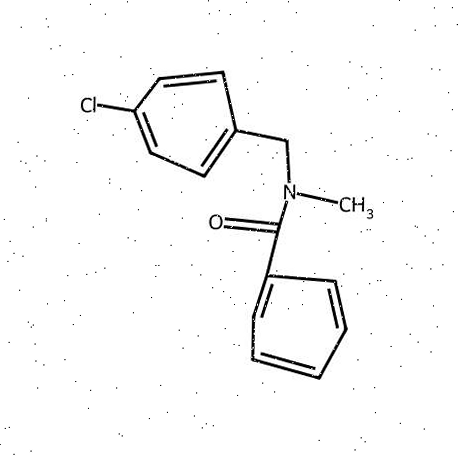 CN(Cc1ccc(Cl)cc1)C(=O)c1ccccc1